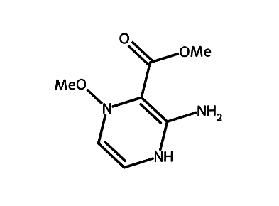 COC(=O)C1=C(N)NC=CN1OC